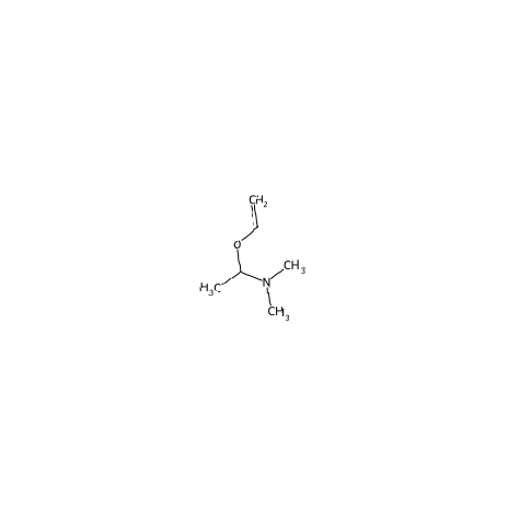 C=COC(C)N(C)C